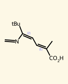 C=N/C(=C\C=C(/C)C(=O)O)C(C)(C)C